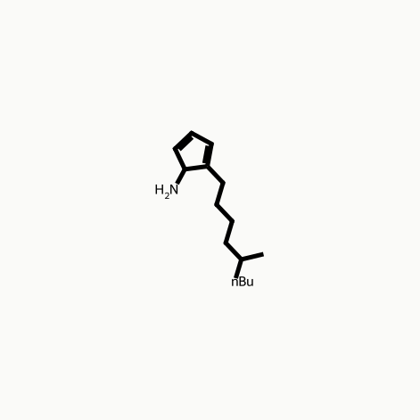 CCCCC(C)CCCCC1=CC=CC1N